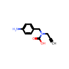 C#CCN(Cc1ccc(N)cc1)C(=O)O